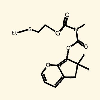 CCSCCOC(=O)N(C)C(=O)OC1=C2OC=CC=C2CC1(C)C